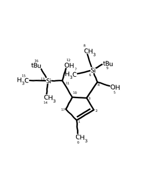 CC1=CC(C(O)[Si](C)(C)C(C)(C)C)C(C(O)[Si](C)(C)C(C)(C)C)C1